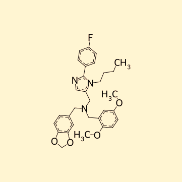 CCCCn1c(CN(Cc2ccc3c(c2)OCO3)Cc2cc(OC)ccc2OC)cnc1-c1ccc(F)cc1